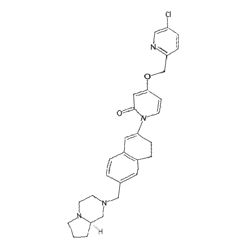 O=c1cc(OCc2ccc(Cl)cn2)ccn1C1=Cc2ccc(CN3CCN4CCC[C@@H]4C3)cc2CC1